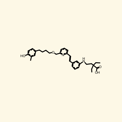 CCC(CC)(CCNc1cccc(C=Cc2cccc(COCCCCc3ccc(O)c(C)c3)n2)c1)C(=O)O